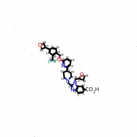 O=C(O)c1ccc2nc(CN3CCC(c4cccc(OCc5ccc(C6COC6)cc5C(F)F)n4)CC3)n(CC3CCO3)c2c1